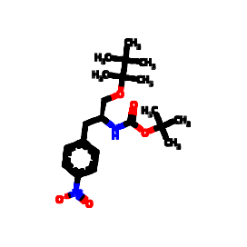 CC(C)(C)OC(=O)N[C@H](CO[Si](C)(C)C(C)(C)C)Cc1ccc([N+](=O)[O-])cc1